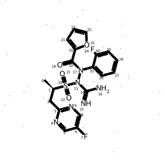 C[C@H](Cc1ncc(F)cn1)S(=O)(=O)N(C(=N)N)N(C(=O)c1ccco1)c1ccccc1F